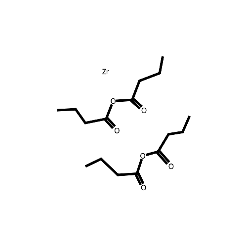 CCCC(=O)OC(=O)CCC.CCCC(=O)OC(=O)CCC.[Zr]